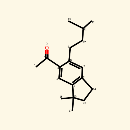 CC(=O)c1cc2c(cc1CCC(C)C)CCC2(C)C